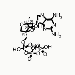 C[C@]12OC[C@](COP(=O)(O)OP(=O)(O)OP(=O)(O)O)(O[C@H]1n1cnc3c(N)nc(N)nc31)[C@H]2O